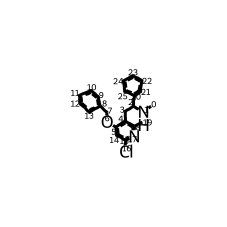 CNC(Cc1c(OCc2ccccc2)cc(Cl)nc1C)c1ccccc1